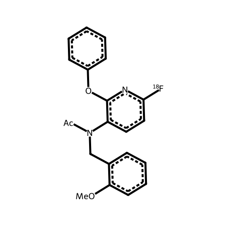 COc1ccccc1CN(C(C)=O)c1ccc([18F])nc1Oc1ccccc1